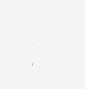 N=C(N)c1c(O)cnnc1Sc1ccc(C(F)(F)F)cn1